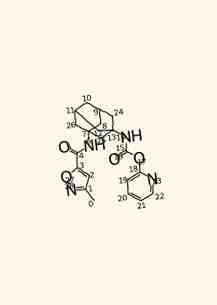 Cc1cc(C(=O)NC23CC4CC(CC(NC(=O)Oc5ccccn5)(C4)C2)C3)on1